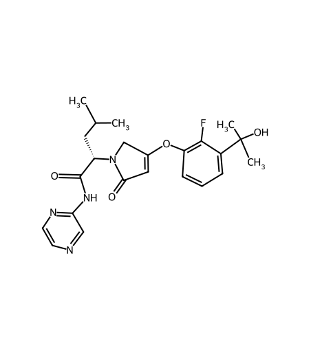 CC(C)C[C@@H](C(=O)Nc1cnccn1)N1CC(Oc2cccc(C(C)(C)O)c2F)=CC1=O